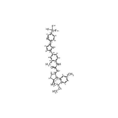 COC(C)c1ccc(C)cc1N1C(=O)CS/C1=N\C(=O)Nc1ccc(-c2ccn(-c3ccc(C(F)(F)F)cn3)n2)cc1C